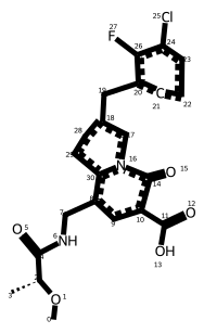 CO[C@H](C)C(=O)NCc1cc(C(=O)O)c(=O)n2cc(Cc3cccc(Cl)c3F)ccc12